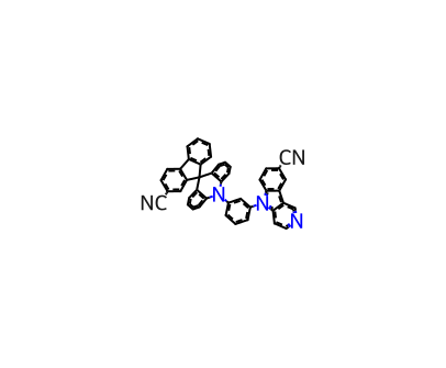 N#Cc1ccc2c(c1)C1(c3ccccc3-2)c2ccccc2N(c2cccc(-n3c4ccncc4c4cc(C#N)ccc43)c2)c2ccccc21